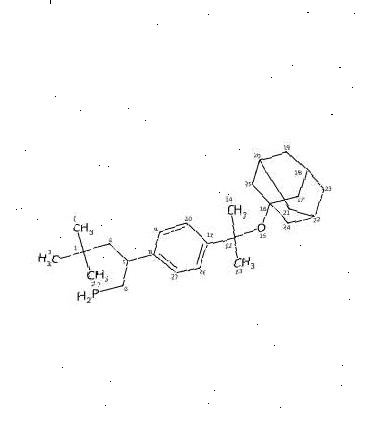 CC(C)(C)CC(CP)c1ccc(C(C)(C)OC23CC4CC(CC(C4)C2)C3)cc1